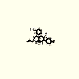 C=CCN1CC[C@@]2(c3cccc(O)c3)Cc3[nH]c4cc(F)ccc4c3C[C@]2(O)C1